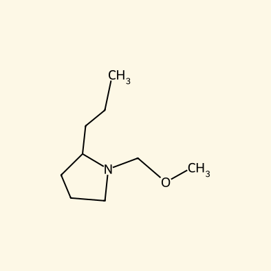 CCCC1CCCN1COC